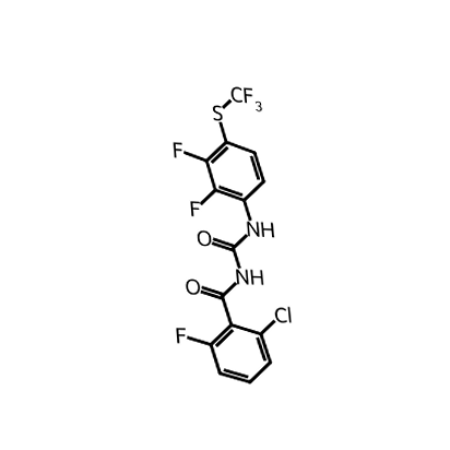 O=C(NC(=O)c1c(F)cccc1Cl)Nc1ccc(SC(F)(F)F)c(F)c1F